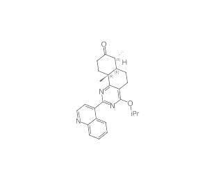 CC(C)Oc1nc(-c2ccnc3ccccc23)nc2c1CC[C@@H]1[C@@H](C)C(=O)CC[C@@]21C